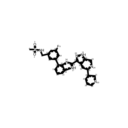 CS(=O)(=O)NCc1cc(F)cc(-c2cccc3[nH]c(-c4n[nH]c5cnc(-c6cccnc6)cc45)nc23)c1